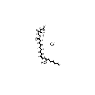 CCCCCCC(O)C/C=C\CCCCCCCC(=O)NC[N+](C)(C)CCC.[Cl-]